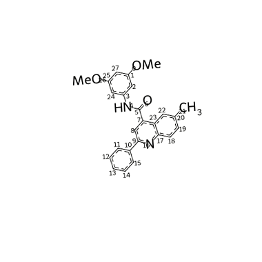 COc1cc(NC(=O)c2cc(-c3ccccc3)nc3ccc(C)cc23)cc(OC)c1